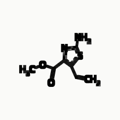 C=Cc1sc(N)nc1C(=O)OC